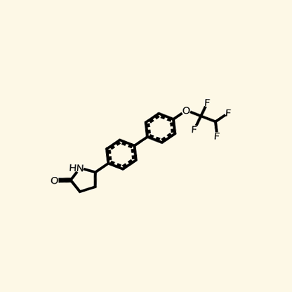 O=C1CCC(c2ccc(-c3ccc(OC(F)(F)C(F)F)cc3)cc2)N1